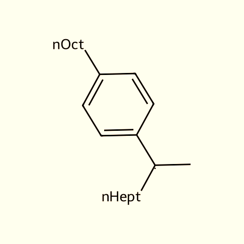 CCCCCCCCc1ccc([C](C)CCCCCCC)cc1